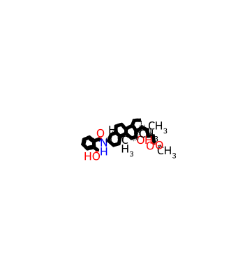 COC(=O)CC[C@@H](C)[C@H]1CCC2C3CC[C@@H]4C[C@@H](NC(=O)c5ccccc5CO)CC[C@]4(C)C3C[C@H](O)[C@@]21C